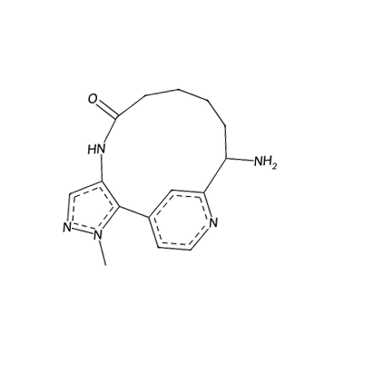 Cn1ncc2c1-c1ccnc(c1)C(N)CCCCC(=O)N2